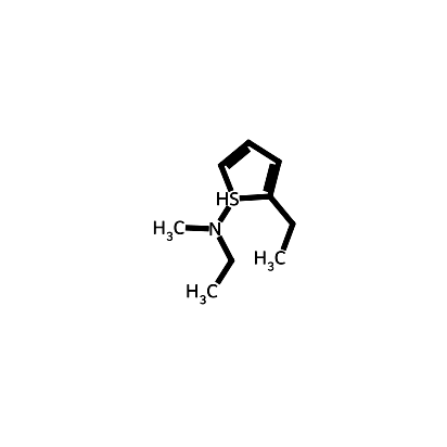 CCC1=CC=C[SH]1N(C)CC